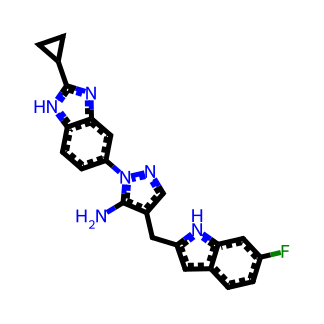 Nc1c(Cc2cc3ccc(F)cc3[nH]2)cnn1-c1ccc2[nH]c(C3CC3)nc2c1